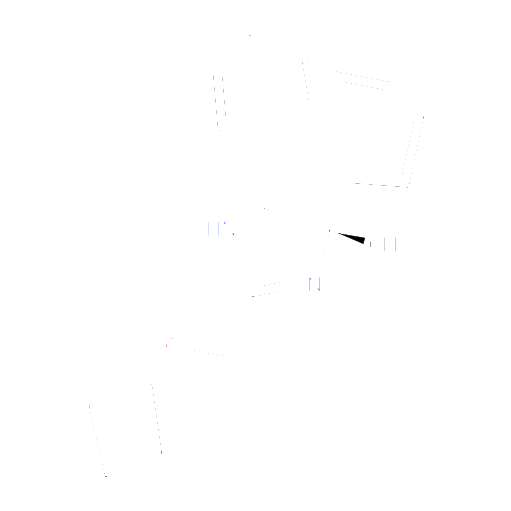 C[C@@]1(C2C=CC=CC2)N=C(COC2CCC2)N[C@@H]1c1ccccc1